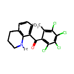 CCN1CCCc2cccc(C(=O)c3c(Cl)c(Cl)c(Cl)c(Cl)c3C(=O)O)c21